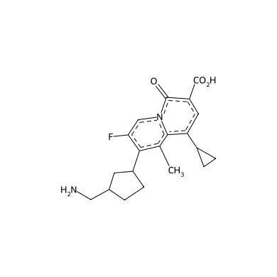 Cc1c(C2CCC(CN)C2)c(F)cn2c(=O)c(C(=O)O)cc(C3CC3)c12